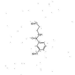 COCCNC(=O)c1cccc(SC)c1